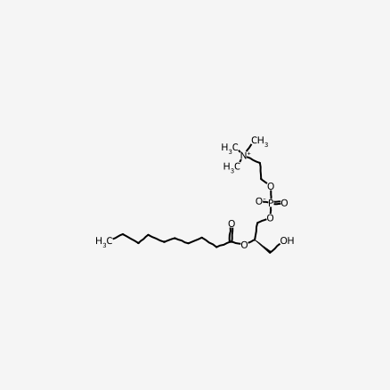 CCCCCCCCCC(=O)O[C@H](CO)COP(=O)([O-])OCC[N+](C)(C)C